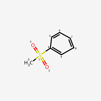 CS(=O)(=O)c1[c]cc[c]c1